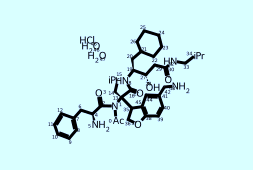 CC(=O)N(C(=O)[C@@H](N)Cc1ccccc1)[C@](CC(C)C)(C(=O)N[C@@H](CC1CCCCC1)[C@@H](O)CC(=O)NCC(C)C)C1COc2ccc(CN)cc21.Cl.O.O